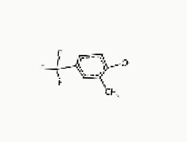 Cc1cc(C(F)(F)F)ccc1[O]